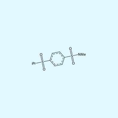 CNS(=O)(=O)c1ccc(S(=O)(=O)C(C)C)cc1